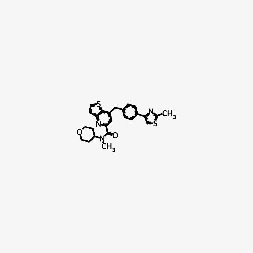 Cc1nc(-c2ccc(Cc3cc(C(=O)N(C)C4CCOCC4)nc4ccsc34)cc2)cs1